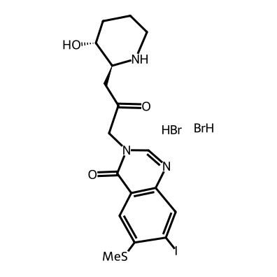 Br.Br.CSc1cc2c(=O)n(CC(=O)C[C@@H]3NCCC[C@H]3O)cnc2cc1I